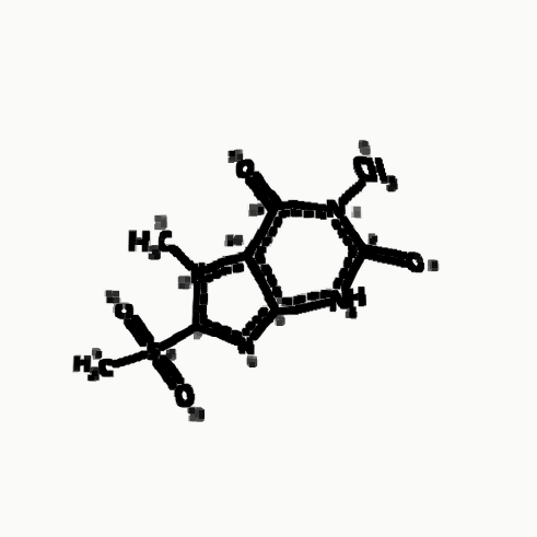 Cn1c(=O)[nH]c2nc(S(C)(=O)=O)n(C)c2c1=O